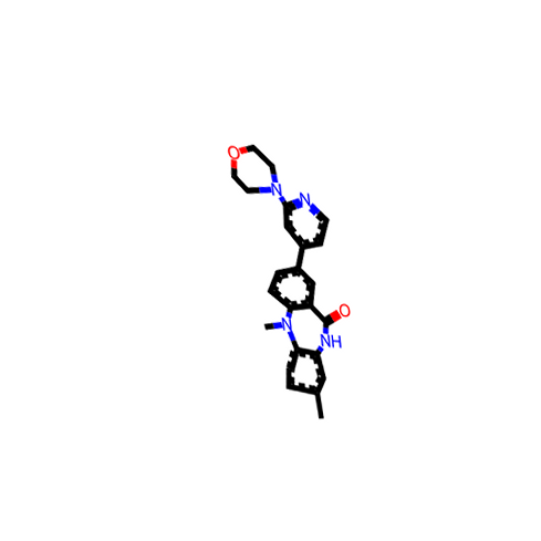 Cc1ccc2c(c1)NC(=O)c1cc(-c3ccnc(N4CCOCC4)c3)ccc1N2C